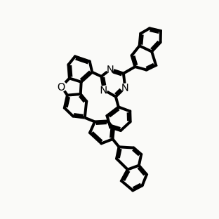 c1ccc(-c2nc(-c3ccc4ccccc4c3)nc(-c3cccc4oc5ccc(-c6ccc(-c7ccc8ccccc8c7)cc6)cc5c34)n2)cc1